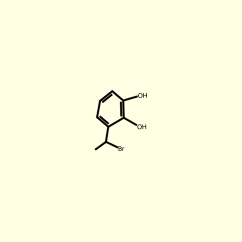 CC(Br)c1cccc(O)c1O